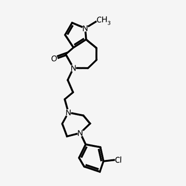 Cn1ccc2c1CCCN(CCCN1CCN(c3cccc(Cl)c3)CC1)C2=O